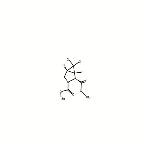 CC(C)(C)OC(=O)[C@@H]1[C@@H]2[C@H](CN1C(=O)OC(C)(C)C)C2(Cl)Cl